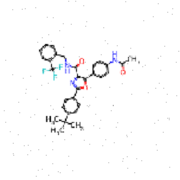 CC(=O)Nc1ccc(-c2oc(-c3ccc(C(C)(C)C)cc3)nc2C(=O)NCc2ccccc2C(F)(F)F)cc1